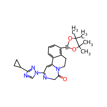 CC1(C)OB(c2cccc3c2CCN2C(=O)CN=C(n4cnc(C5CC5)n4)C=C32)OC1(C)C